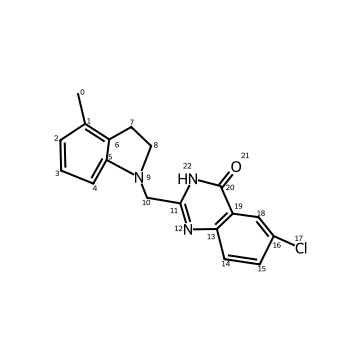 Cc1cccc2c1CCN2Cc1nc2ccc(Cl)cc2c(=O)[nH]1